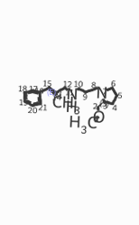 COC[C@@H]1CCCN1CCCNC/C(C)=C/c1ccccc1